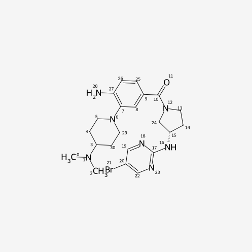 CN(C)C1CCN(c2cc(C(=O)N3CC[C@H](Nc4ncc(Br)cn4)C3)ccc2N)CC1